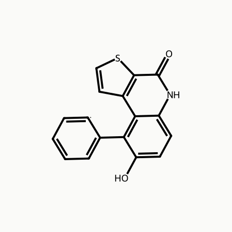 O=c1[nH]c2ccc(O)c(-c3[c]cccc3)c2c2ccsc12